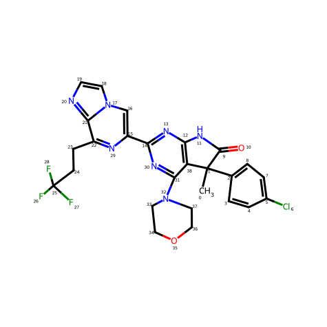 CC1(c2ccc(Cl)cc2)C(=O)Nc2nc(-c3cn4ccnc4c(CCC(F)(F)F)n3)nc(N3CCOCC3)c21